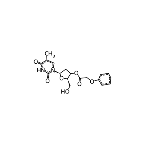 Cc1cn([C@H]2CC(OC(=O)COc3ccccc3)[C@@H](CO)O2)c(=O)[nH]c1=O